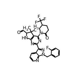 CC1(C)c2c(nc(-c3nn(Cc4ccccc4F)c4ncccc34)nc2N2CC(C(F)(F)F)CCC2=O)NC1C=O